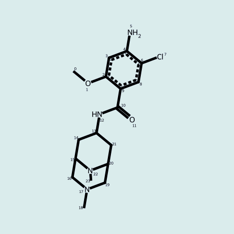 COc1cc(N)c(Cl)cc1C(=O)NC1CC2CN(C)CC(C1)N2C